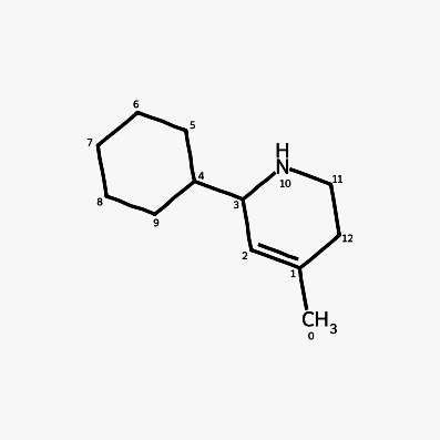 CC1=CC(C2CCCCC2)NCC1